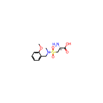 COc1ccccc1CN(C)S(=O)(=O)C[C@H](N)C(=O)O